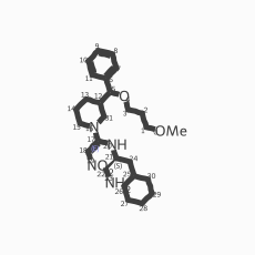 COCCCOC(c1ccccc1)C1CCCN(/C(=C/[N+](=O)[O-])N[C@H](CN)CC2CCCCC2)C1